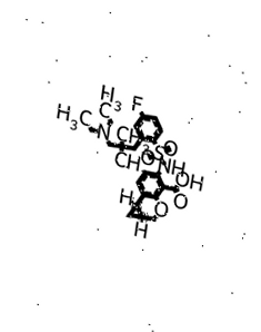 CCN(CC)CC(C)(C)Cc1cc(F)ccc1S(=O)(=O)Nc1ccc2c(c1C(=O)O)OC[C@@H]1C[C@H]21